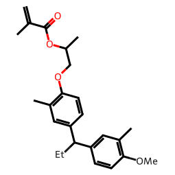 C=C(C)C(=O)OC(C)COc1ccc(C(CC)c2ccc(OC)c(C)c2)cc1C